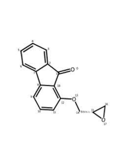 O=C1c2ccccc2-c2cccc(OC[C@@H]3CO3)c21